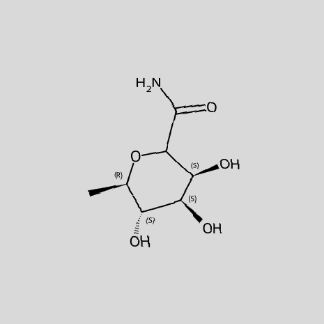 C[C@H]1OC(C(N)=O)[C@@H](O)[C@@H](O)[C@@H]1O